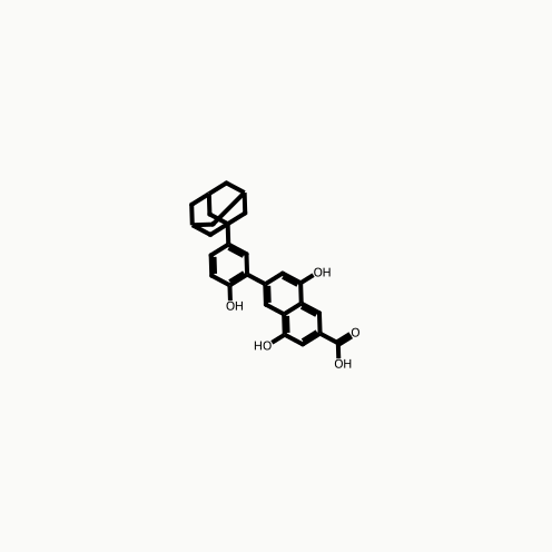 O=C(O)c1cc(O)c2cc(-c3cc(C45CC6CC(CC(C6)C4)C5)ccc3O)cc(O)c2c1